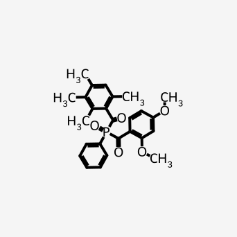 COc1ccc(C(=O)P(=O)(C(=O)c2c(C)cc(C)c(C)c2C)c2ccccc2)c(OC)c1